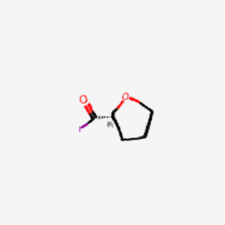 O=C(I)[C@H]1CCCO1